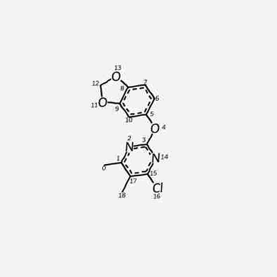 Cc1nc(Oc2ccc3c(c2)OCO3)nc(Cl)c1C